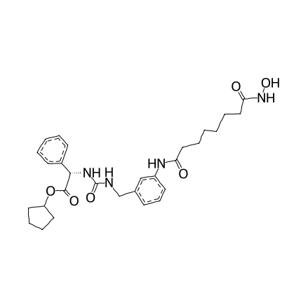 O=C(CCCCCCC(=O)Nc1cccc(CNC(=O)N[C@H](C(=O)OC2CCCC2)c2ccccc2)c1)NO